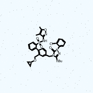 CCCCc1nn(-c2ccccc2Cl)c(=O)n1Cc1ccc(-c2ccccc2S(=O)(=O)Nc2noc(C)c2C)c(COC2CC2)c1